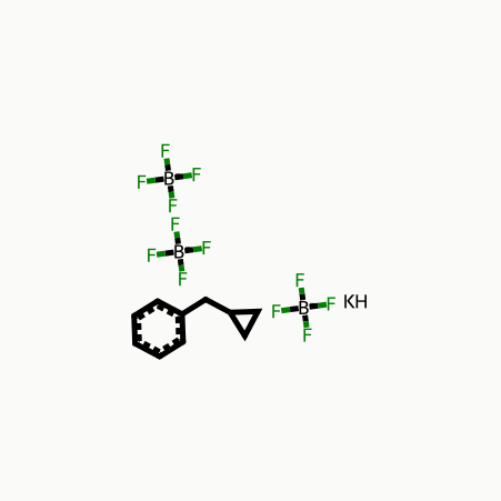 F[B-](F)(F)F.F[B-](F)(F)F.F[B-](F)(F)F.[KH].c1ccc(CC2CC2)cc1